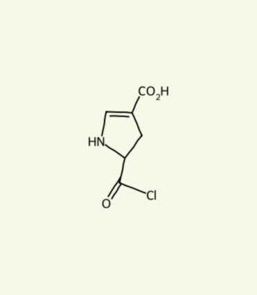 O=C(O)C1=CNC(C(=O)Cl)C1